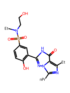 CCCc1nc(CC)c2c(=O)[nH]c(-c3cc(S(=O)(=O)N(CC)CCO)ccc3O)nn12